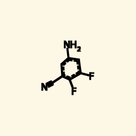 N#Cc1cc(N)cc(F)c1F